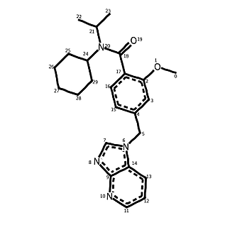 COc1cc(Cn2cnc3ncccc32)ccc1C(=O)N(C(C)C)C1CCCCC1